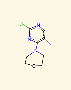 Clc1ncc(I)c(N2CCCCC2)n1